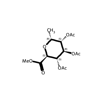 COC(=O)[C@H]1O[C@H](C)[C@H](OC(C)=O)[C@@H](OC(C)=O)[C@@H]1OC(C)=O